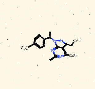 COc1nc(C)nc2c1c(CC=O)nn2C(C)c1ccc(C(F)(F)F)cc1